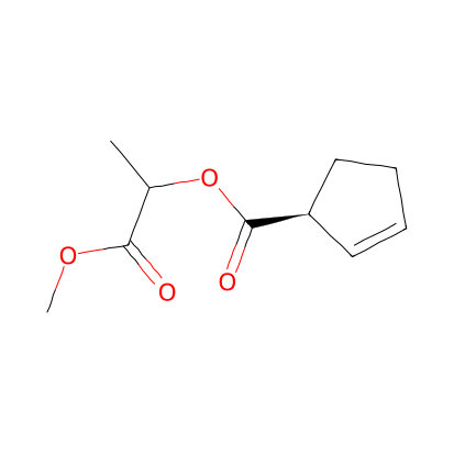 COC(=O)C(C)OC(=O)[C@@H]1C=CCC1